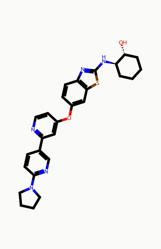 O[C@@H]1CCCC[C@H]1Nc1nc2ccc(Oc3ccnc(-c4ccc(N5CCCC5)nc4)c3)cc2s1